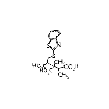 CC(C(=O)O)C(C)(C(=O)O)C(CSc1nc2ccccc2s1)C(=O)O